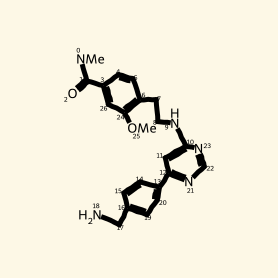 CNC(=O)c1ccc(CCNc2cc(-c3ccc(CN)cc3)ncn2)c(OC)c1